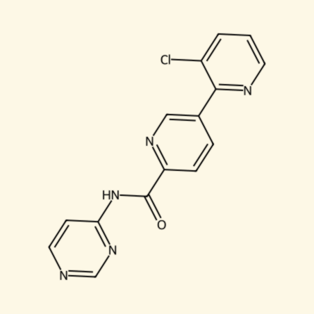 O=C(Nc1ccncn1)c1ccc(-c2ncccc2Cl)cn1